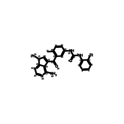 CCc1ccccc1NC(=O)Nc1ccc(C)c(C(=O)c2cn(C(C)C)c3ncnc(N)c23)c1